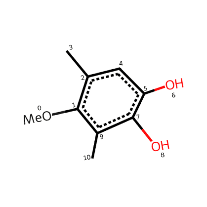 COc1c(C)cc(O)c(O)c1C